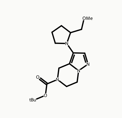 COCC1CCCN1c1cnn2c1CN(C(=O)OC(C)(C)C)CC2